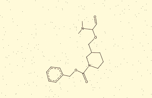 CN(C)C(C=O)OCC1CCCN(C(=O)OCc2ccccc2)C1